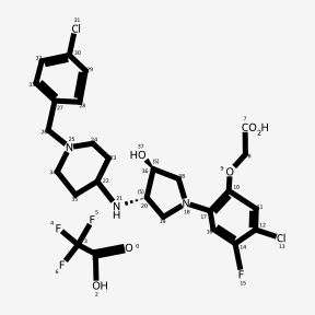 O=C(O)C(F)(F)F.O=C(O)COc1cc(Cl)c(F)cc1N1C[C@H](NC2CCN(Cc3ccc(Cl)cc3)CC2)[C@@H](O)C1